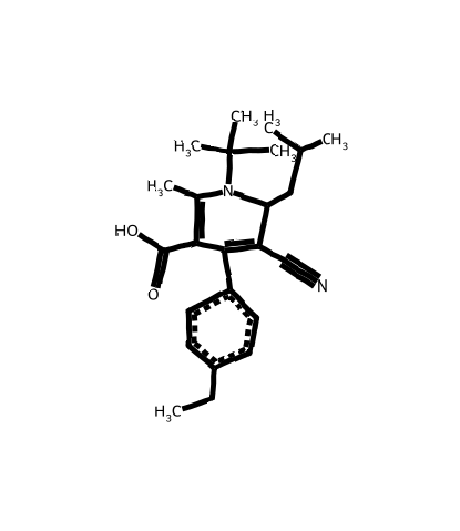 CCc1ccc(C2=C(C#N)C(CC(C)C)N(C(C)(C)C)C(C)=C2C(=O)O)cc1